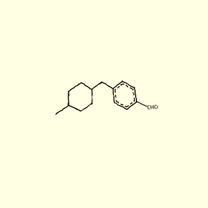 CC1CCC(Cc2ccc(C=O)cc2)CC1